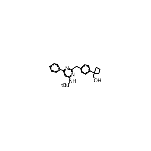 CC(C)(C)Nc1cc(-c2ccccc2)nc(Cc2ccc(C3(CO)CCC3)cc2)n1